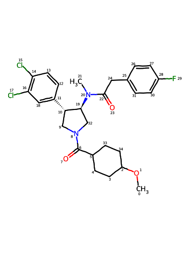 COC1CCC(C(=O)N2C[C@H](c3ccc(Cl)c(Cl)c3)[C@@H](N(C)C(=O)Cc3ccc(F)cc3)C2)CC1